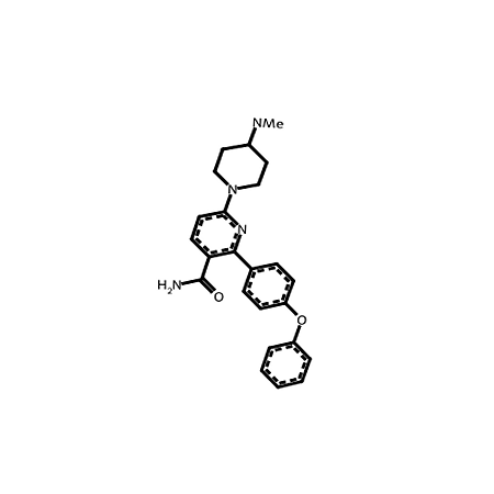 CNC1CCN(c2ccc(C(N)=O)c(-c3ccc(Oc4ccccc4)cc3)n2)CC1